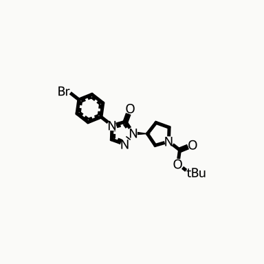 CC(C)(C)OC(=O)N1CC[C@H](n2ncn(-c3ccc(Br)cc3)c2=O)C1